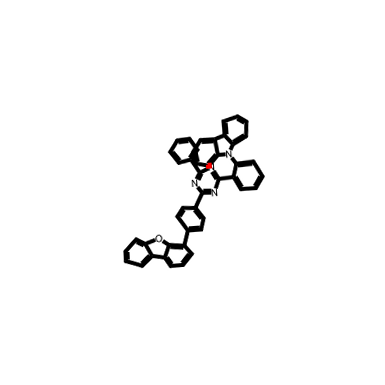 c1ccc(-c2nc(-c3ccc(-c4cccc5c4oc4ccccc45)cc3)nc(-c3ccccc3-n3c4ccccc4c4ccccc43)n2)cc1